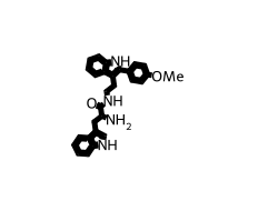 COc1ccc(-c2[nH]c3ccccc3c2CCNC(=O)C(N)Cc2c[nH]c3ccccc23)cc1